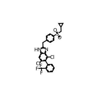 O=S(=O)(CC1CC1)c1ccc(Cc2nc3c(Cl)c(-c4ccccc4C(F)(F)F)c(Cl)cc3[nH]2)cc1